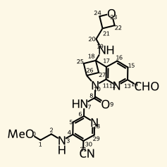 COCCNc1cc(NC(=O)N2c3nc(C=O)ccc3C3(NCC4COC4)CC2C3)ncc1C#N